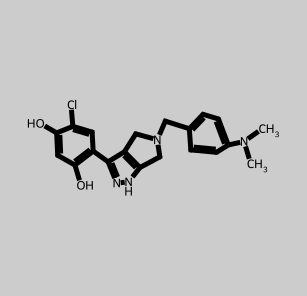 CN(C)c1ccc(CN2Cc3[nH]nc(-c4cc(Cl)c(O)cc4O)c3C2)cc1